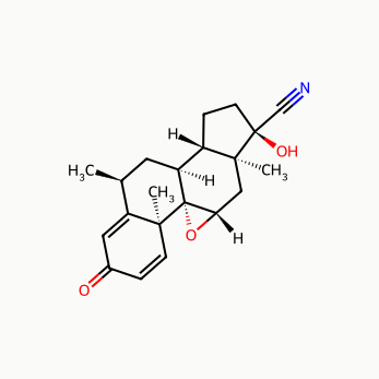 C[C@H]1C[C@H]2[C@@H]3CC[C@](O)(C#N)[C@@]3(C)C[C@@H]3O[C@@]32[C@@]2(C)C=CC(=O)C=C12